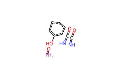 N=C=O.N=C=O.O=[PH3].Oc1ccccc1